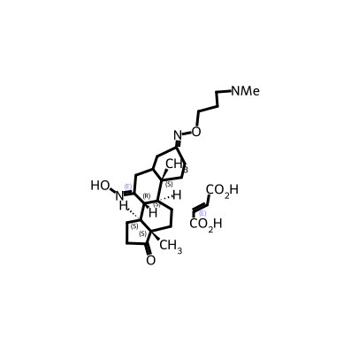 CNCCCON=C1CC[C@@]2(C)C(C1)C/C(=N\O)[C@@H]1[C@@H]2CC[C@]2(C)C(=O)CC[C@@H]12.O=C(O)/C=C/C(=O)O